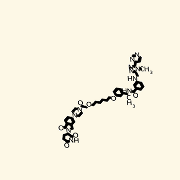 C[C@@H](NC(=O)c1cccc(NCc2nnc(-c3ccncn3)n2C)c1)c1cccc(OCCCCCCOCC(=O)N2CCN(c3ccc4c(c3)CN(C3CCC(=O)NC3=O)C4=O)CC2)c1